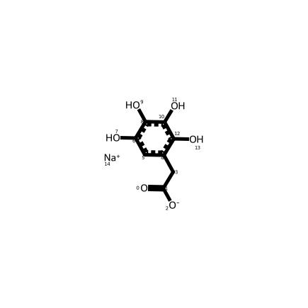 O=C([O-])Cc1cc(O)c(O)c(O)c1O.[Na+]